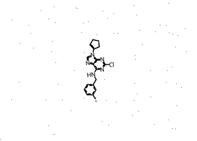 Clc1nc(NCc2cccc(I)c2)c2ncn(C3=CCCC3)c2n1